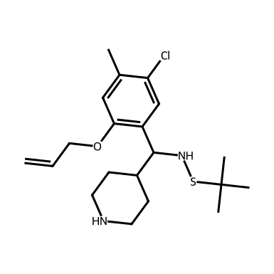 C=CCOc1cc(C)c(Cl)cc1C(NSC(C)(C)C)C1CCNCC1